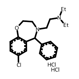 CCN(CC)CCN1CCOc2ccc(Cl)cc2C1c1ccccc1.Cl.Cl